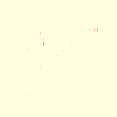 O=C(O)CC1C(=O)Nc2ccccc21